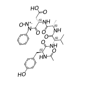 CC(=O)N[C@@H](Cc1ccc(O)cc1)C(=O)N[C@H](C(=O)N[C@@H](C)C(=O)N[C@@H](CC(=O)O)C(=O)N([N+]=O)c1ccccc1)C(C)C